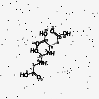 O=C(O)CNC(O)N[C@@H](CC(=O)O)C(=O)O